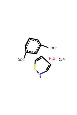 C1=CNSC=C1.O.O=C([O-])c1cccc(C(=O)[O-])c1.[Ca+2]